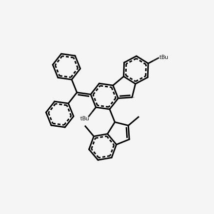 CC1=Cc2cccc(C)c2C1c1c(C(C)(C)C)c(=C(c2ccccc2)c2ccccc2)cc2c1=[C]c1cc(C(C)(C)C)ccc1-2